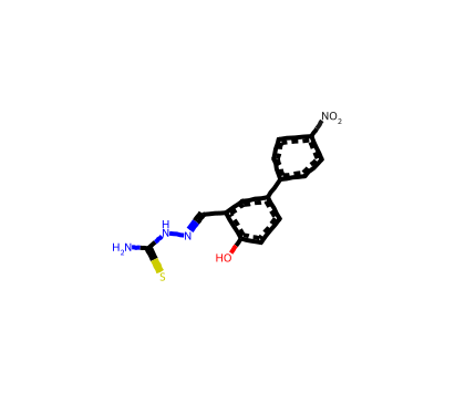 NC(=S)N/N=C/c1cc(-c2ccc([N+](=O)[O-])cc2)ccc1O